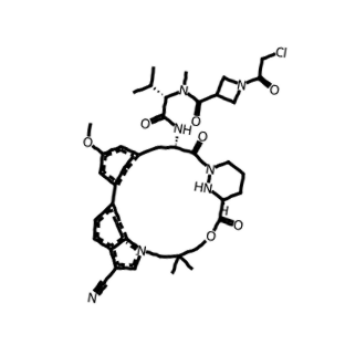 COc1cc2cc(c1)-c1ccc3c(C#N)cn(c3c1)CC(C)(C)COC(=O)[C@@H]1CCCN(N1)C(=O)[C@@H](NC(=O)[C@H](C(C)C)N(C)C(=O)C1CN(C(=O)CCl)C1)C2